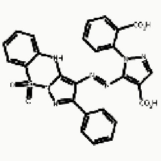 O=C(O)c1ccccc1-n1ncc(C(=O)O)c1/N=N/c1c(-c2ccccc2)nn2c1Nc1ccccc1S2(=O)=O